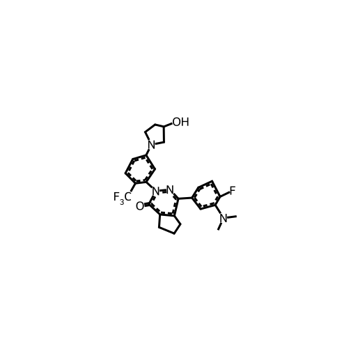 CN(C)c1cc(-c2nn(-c3cc(N4CCC(O)C4)ccc3C(F)(F)F)c(=O)c3c2CCC3)ccc1F